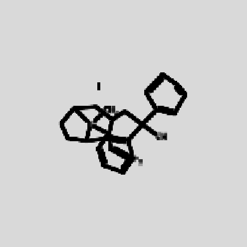 C=CC[N+]1(C)C2CCC1CC(CC(C#N)(c1ccccc1)c1ccccc1)C2.[I-]